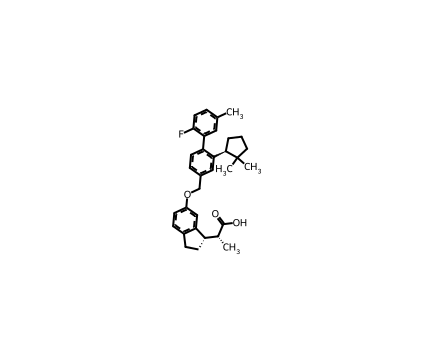 Cc1ccc(F)c(-c2ccc(COc3ccc4c(c3)[C@H]([C@@H](C)C(=O)O)CC4)cc2[C@H]2CCCC2(C)C)c1